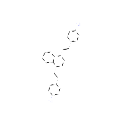 Nc1ccc(C=Cc2ccc(C=Cc3ccc(N)cc3)c3ccccc23)cc1